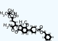 COc1c(C2=CCN(C(=O)OCc3ccccc3)CC2)ccc2c1CN(C(CCC(=O)OC(C)(C)C)C(N)=O)C2=O